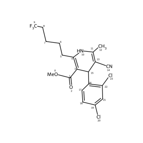 COC(=O)C1=C(CCCCC(F)(F)F)NC(C)=C(C#N)C1c1ccc(Cl)cc1Cl